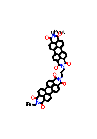 CCCCCN1C(=O)c2ccc3c4ccc5c6c(ccc(c7ccc(c2c37)C1=O)c64)C(=O)N(CCCN1C(=O)c2ccc3c4ccc6c7c(ccc(c8ccc(c2c38)C1=O)c74)C(=O)N(CC(C)CC)C6=O)C5=O